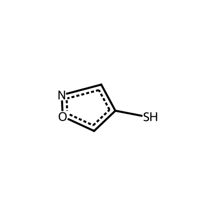 Sc1cnoc1